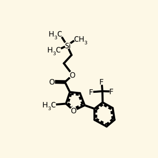 Cc1oc(-c2ccccc2C(F)(F)F)cc1C(=O)OCC[Si](C)(C)C